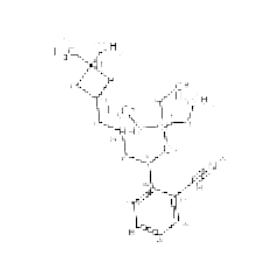 CC[Si](CC)(CC)OC(CNCC1CC(C)(C)C1)c1ccccc1C#N